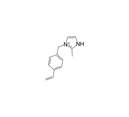 C=Cc1ccc(C[n+]2cc[nH]c2C)cc1